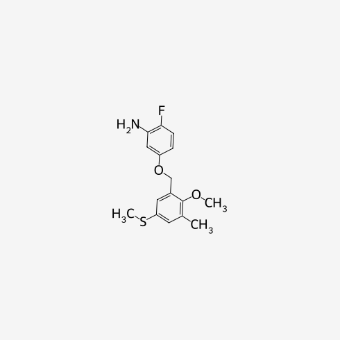 COc1c(C)cc(SC)cc1COc1ccc(F)c(N)c1